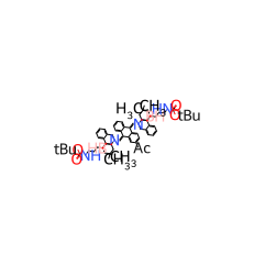 CC(=O)c1ccc2c(=CN(CCCCCCNC(=O)OC(C)(C)C)Cc3ccccc3C3BCC(C)(C)CC3)c3ccccc3c(=CN(CCCCCCNC(=O)OC(C)(C)C)Cc3ccccc3C3BCC(C)(C)CC3)c2c1